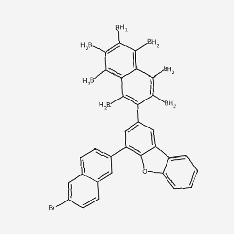 Bc1c(B)c(B)c2c(B)c(-c3cc(-c4ccc5cc(Br)ccc5c4)c4oc5ccccc5c4c3)c(B)c(B)c2c1B